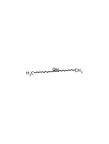 CCCCCCCCCCCCCCCC(O)CCCCCCCCCCCCCCC